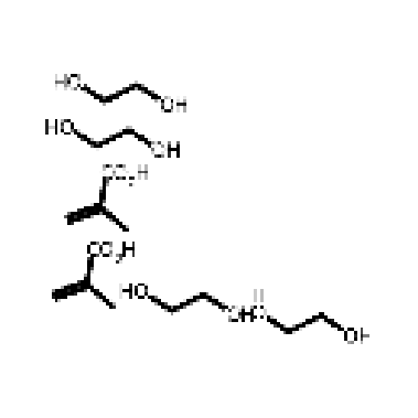 C=C(C)C(=O)O.C=C(C)C(=O)O.OCCO.OCCO.OCCO.OCCO